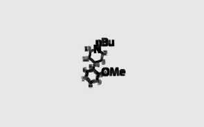 [CH2]CCCN1CCC(c2ccccc2OC)CC1